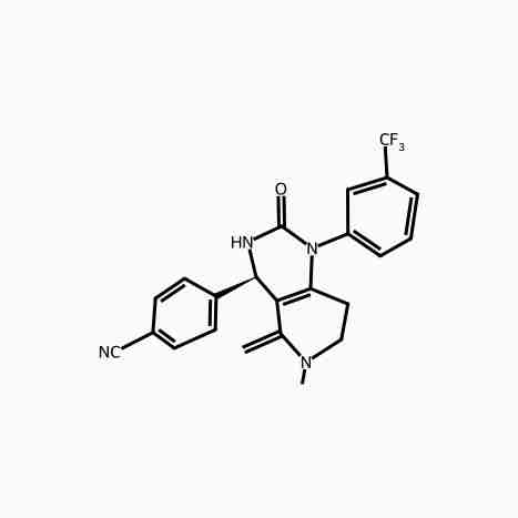 C=C1C2=C(CCN1C)N(c1cccc(C(F)(F)F)c1)C(=O)N[C@@H]2c1ccc(C#N)cc1